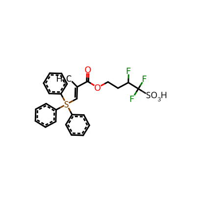 CC(=CS(c1ccccc1)(c1ccccc1)c1ccccc1)C(=O)OCCC(F)C(F)(F)S(=O)(=O)O